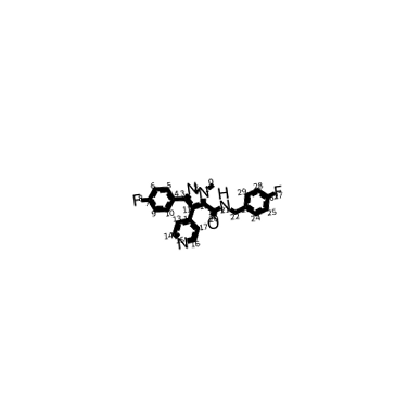 Cn1nc(-c2ccc(F)cc2)c(-c2ccncc2)c1C(=O)NCc1ccc(F)cc1